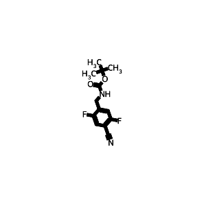 CC(C)(C)OC(=O)NCc1cc(F)c(C#N)cc1F